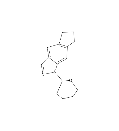 c1nn(C2CCCCO2)c2cc3c(cc12)CCC3